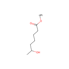 [CH2]C(O)CCCCC(=O)OCCC